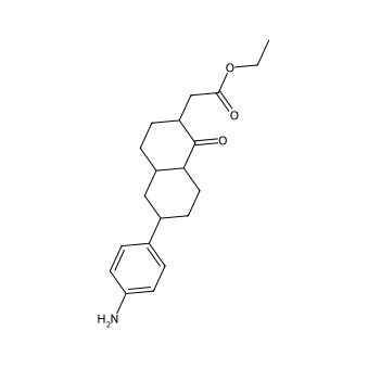 CCOC(=O)CC1CCC2CC(c3ccc(N)cc3)CCC2C1=O